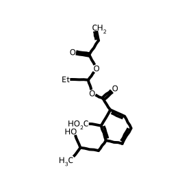 C=CC(=O)OC(CC)OC(=O)c1cccc(CC(C)O)c1C(=O)O